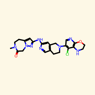 CN1CCc2cc(Nc3cc4c(cn3)CCN(c3cnc5c(c3Cl)NCCO5)C4)nn2CC1=O